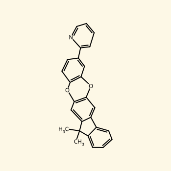 CC1(C)c2ccccc2-c2cc3c(cc21)Oc1ccc(-c2ccccn2)cc1O3